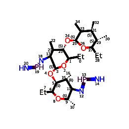 CCC1O[C@@H](O[C@@H]2C(CC)O[C@@H](C)C(N=[PH]=N)[C@H]2C)C(N=[PH]=N)C(C)[C@@H]1O[C@@H]1OC(CC)[C@@H](C)[C@H](C)C1C